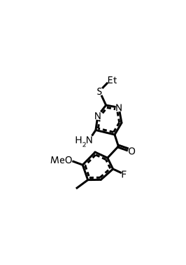 CCSc1ncc(C(=O)c2cc(OC)c(C)cc2F)c(N)n1